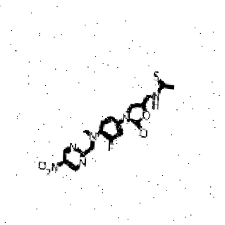 CC(=S)NCC1CN(c2ccc(N(C)Cc3ncc([N+](=O)[O-])cn3)c(F)c2)C(=O)O1